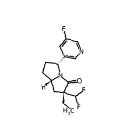 CC[C@@]1(C(F)F)C[C@@H]2CC[C@H](c3cncc(F)c3)N2C1=O